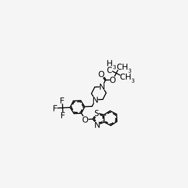 CC(C)(C)OC(=O)N1CCN(Cc2ccc(C(F)(F)F)cc2Oc2nc3ccccc3s2)CC1